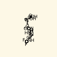 COc1cc2c(Nc3ncc(CC(=O)Nc4cc(F)cc(F)c4)s3)ncnc2cc1OCCCN1CCC[C@H]1COP(=O)(O)O